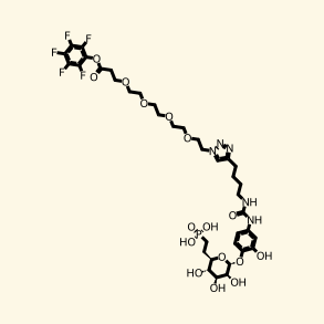 O=C(NCCCCc1cn(CCOCCOCCOCCOCCC(=O)Oc2c(F)c(F)c(F)c(F)c2F)nn1)Nc1ccc(O[C@H]2O[C@H](CCP(=O)(O)O)[C@@H](O)[C@H](O)[C@@H]2O)c(O)c1